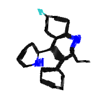 CCC1=NC2C=CC(F)=CC2C(C2=CC=CCN2)=C1c1ccccc1